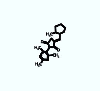 Cc1cc(C)c(C2C(=O)C/C(=C\C3CCCCC3C)C2=O)c(C)c1